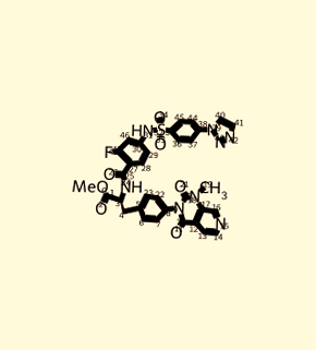 COC(=O)[C@H](Cc1ccc(-n2c(=O)c3ccncc3n(C)c2=O)cc1)NC(=O)c1ccc(NS(=O)(=O)c2ccc(-n3ccnn3)cc2)cc1F